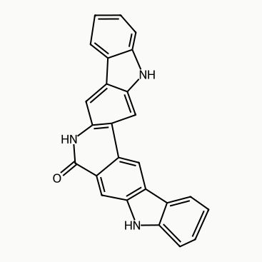 O=c1[nH]c2cc3c(cc2c2cc4c(cc12)[nH]c1ccccc14)[nH]c1ccccc13